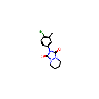 Cc1cc(-n2c(=O)n3n(c2=O)CCCC3)ccc1Br